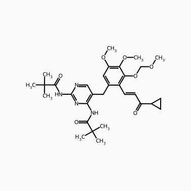 COCOc1c(/C=C/C(=O)C2CC2)c(Cc2cnc(NC(=O)C(C)(C)C)nc2NC(=O)C(C)(C)C)cc(OC)c1OC